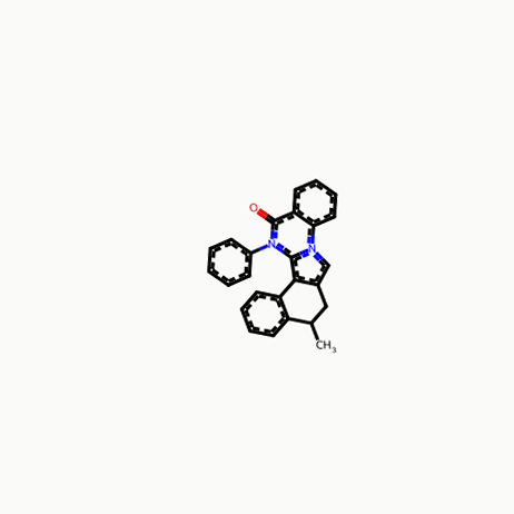 CC1Cc2cn3c4ccccc4c(=O)n(-c4ccccc4)c3c2-c2ccccc21